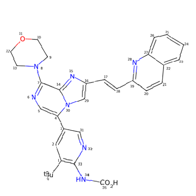 CC(C)(C)c1cc(-c2cnc(N3CCOCC3)c3nc(C=Cc4ccc5ccccc5n4)cn23)cnc1NC(=O)O